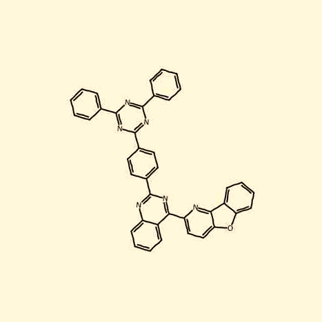 c1ccc(-c2nc(-c3ccccc3)nc(-c3ccc(-c4nc(-c5ccc6oc7ccccc7c6n5)c5ccccc5n4)cc3)n2)cc1